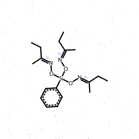 CC/C(C)=N/O[Si](O/N=C(\C)CC)(O/N=C(\C)CC)c1ccccc1